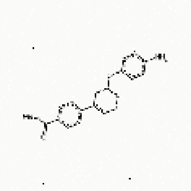 COC(=O)c1ccc(C2=CCNC(Oc3ccc(N)nc3)C2)cc1